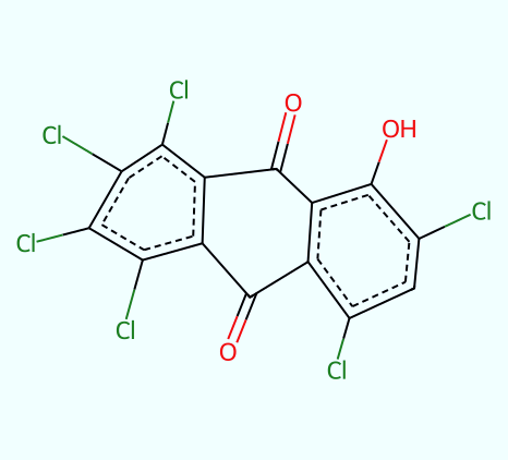 O=C1c2c(Cl)cc(Cl)c(O)c2C(=O)c2c(Cl)c(Cl)c(Cl)c(Cl)c21